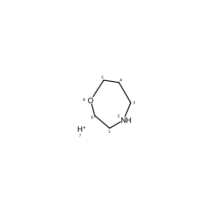 [CH]1CNCCCO1.[H+]